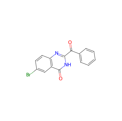 O=C(c1ccccc1)c1nc2ccc(Br)cc2c(=O)[nH]1